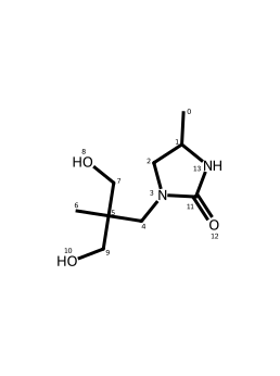 CC1CN(CC(C)(CO)CO)C(=O)N1